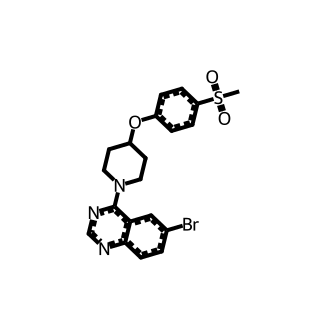 CS(=O)(=O)c1ccc(OC2CCN(c3ncnc4ccc(Br)cc34)CC2)cc1